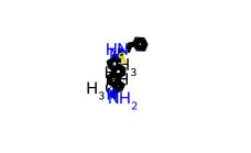 C[C@]12CCc3nc(NCCc4ccccc4)sc3C1=CC[C@@H]1[C@@H]2CC[C@]2(C)/C(=N/N)CC[C@@H]12